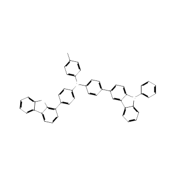 Cc1ccc(N(c2ccc(-c3ccc4c(c3)c3ccccc3n4-c3ccccc3)cc2)c2ccc(-c3cccc4c3oc3ccccc34)cc2)cc1